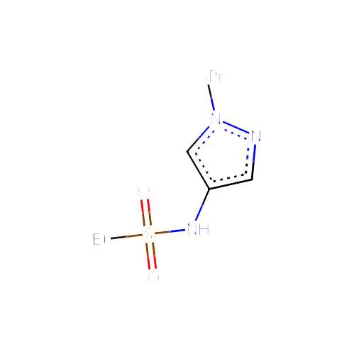 CCS(=O)(=O)Nc1cnn(C(C)C)c1